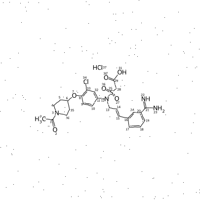 CC(=O)N1CCC(Oc2ccc(N(C/C=C/c3cccc(C(=N)N)c3)S(=O)(=O)CC(=O)O)cc2Cl)CC1.Cl